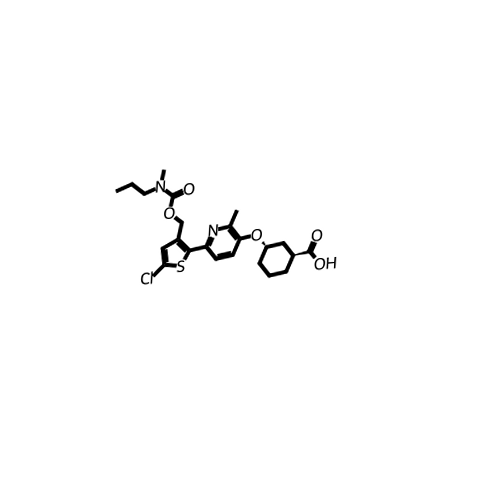 CCCN(C)C(=O)OCc1cc(Cl)sc1-c1ccc(O[C@H]2CCC[C@H](C(=O)O)C2)c(C)n1